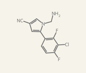 N#Cc1cc(-c2ccc(F)c(Cl)c2F)n(CN)c1